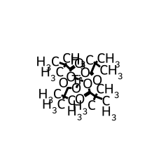 CC(C)(C)C(=O)[O][Ti]([O]C(=O)C(C)(C)C)([O]C(=O)C(C)(C)C)[O]C(=O)C(C)(C)C